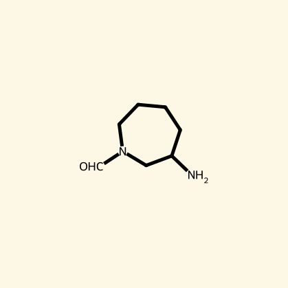 NC1CCCCN(C=O)C1